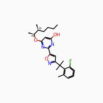 CCCC[C@H](C)[C@H](C)Oc1cc(O)nc(-c2cc(C(C)(C)C3=C(C)C=C=C=C3F)no2)n1